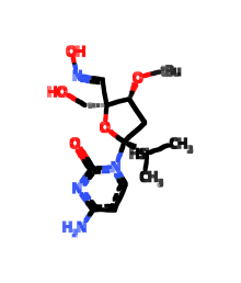 C[SiH](C)[C@]1(n2ccc(N)nc2=O)C[C@H](OC(C)(C)C)[C@@](C=NO)(CO)O1